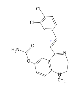 CN1CCN=C(/C=C/c2ccc(Cl)c(Cl)c2)c2cc(OC(N)=O)ccc21